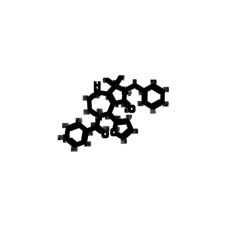 CC1(C)C2=C(C(=O)N1Cc1ccccc1)C(c1ccco1)N(C(=O)c1ccncc1)CCN2